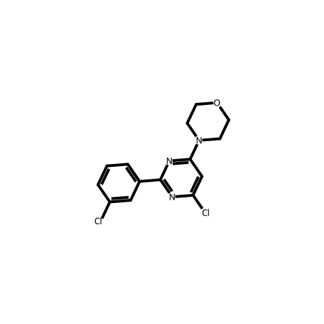 Clc1cccc(-c2nc(Cl)cc(N3CCOCC3)n2)c1